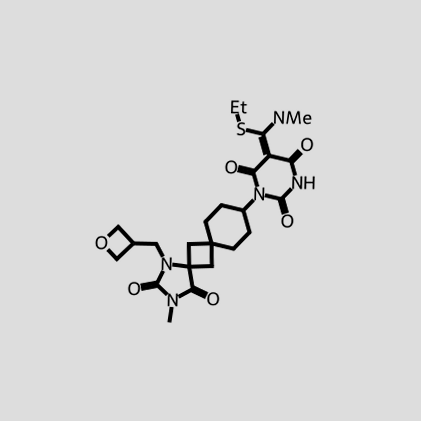 CCSC(NC)=C1C(=O)NC(=O)N(C2CCC3(CC2)CC2(C3)C(=O)N(C)C(=O)N2CC2COC2)C1=O